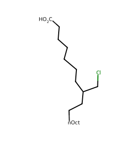 CCCCCCCCCCC(CCl)CCCCCCC(=O)O